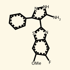 COc1cc2sc(-c3c(-c4ccccc4)n[nH]c3N)nc2cc1F